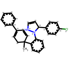 CC1(c2ccccc2N2NC=CC2c2ccc(Cl)cc2)C=CC(c2ccccc2)=CC1